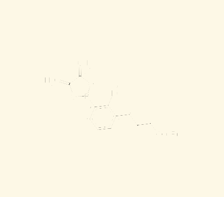 C=C1OB(c2cccc(CCCC(=O)OCC)c2CC)OC1=C